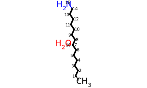 CCCCCCCCCCCCCCCN.O